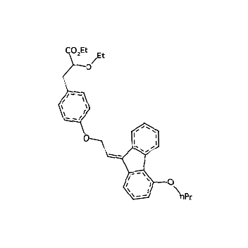 CCCOc1cccc2c1-c1ccccc1C2=CCOc1ccc(CC(OCC)C(=O)OCC)cc1